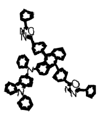 c1ccc(-c2nnc(-c3ccc(-c4c5ccccc5c(-c5ccc(-c6nnc(-c7ccccc7)o6)cc5)c5cc(N(c6ccccc6)c6ccc7c(c6)c6ccccc6n7-c6ccccc6)ccc45)cc3)o2)cc1